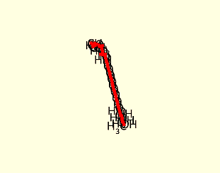 COc1ccc(CNC(=O)C(=O)[C@@H]2CCCN2C(=O)CNC(=O)c2ccnc3cc(OCC(=O)NCCOCCOCCOCCOCCOCCOCCOCCOCCOCCOCCOCCOCCOCCOCCOCCNC(=O)CNC(=O)CNC(=O)CNC(=O)C[SH]=C(C)O)ccc23)cc1OC